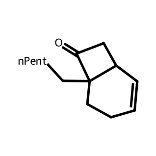 CCCCCCC12CCC=CC1CC2=O